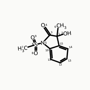 CC1(O)C(=O)N(S(C)(=O)=O)c2ccccc21